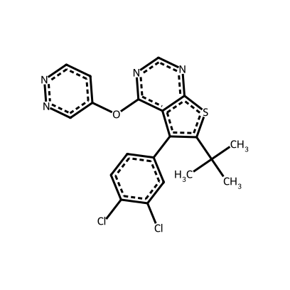 CC(C)(C)c1sc2ncnc(Oc3ccnnc3)c2c1-c1ccc(Cl)c(Cl)c1